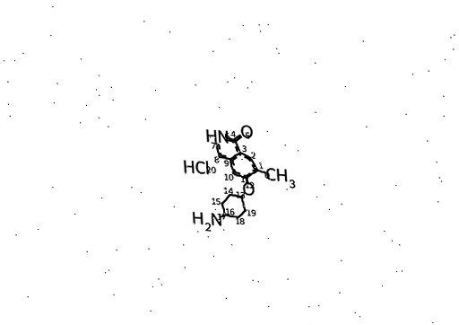 Cc1cc2c(=O)[nH]ccc2cc1OC1CCC(N)CC1.Cl